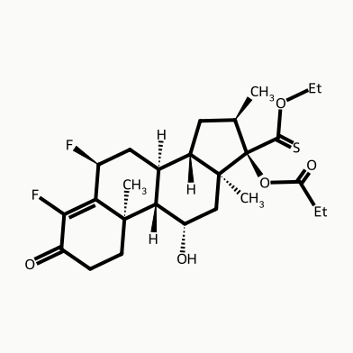 CCOC(=S)[C@@]1(OC(=O)CC)[C@H](C)C[C@H]2[C@@H]3C[C@H](F)C4=C(F)C(=O)CC[C@]4(C)[C@H]3[C@@H](O)C[C@@]21C